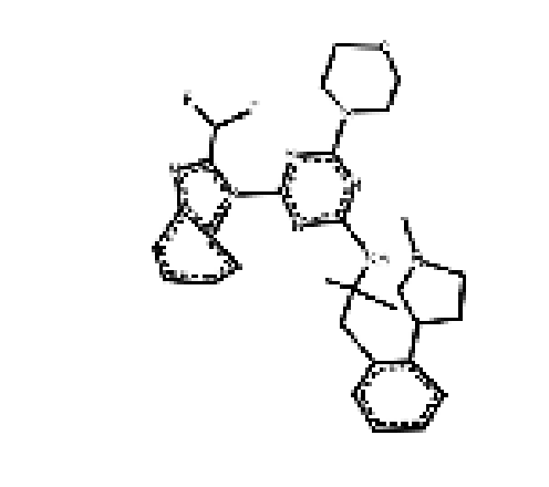 CN1CCC(c2ccccc2CC(C)(C)Nc2nc(N3CCOCC3)nc(-n3c(C(F)F)nc4ccccc43)n2)C1